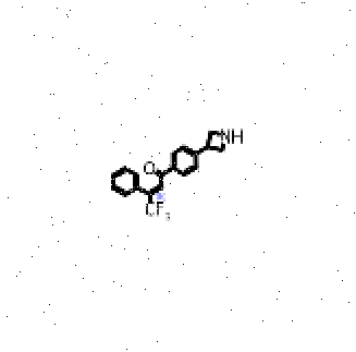 O=C(/C=C(\c1ccccc1)C(F)(F)F)c1ccc(C2CNC2)cc1